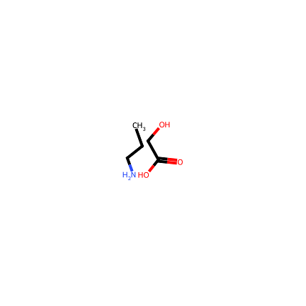 CCCN.O=C(O)CO